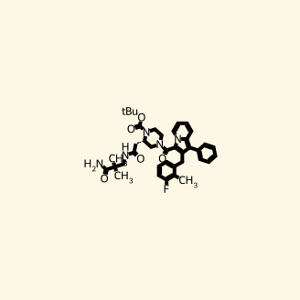 Cc1c(F)cccc1Cc1c(-c2ccccc2)c2ccccn2c1C(=O)N1CCN(C(=O)OC(C)(C)C)[C@@H](CC(=O)NCC(C)(C)C(N)=O)C1